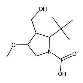 COC1CN(C(=O)O)C(C(C)(C)C)C1CO